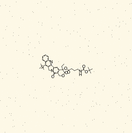 CCC1(OC(=O)CCCNC(=O)OC(C)(C)C)C(=O)OCc2c1cc1n(c2=O)Cc2c-1nc1ccccc1c2[Si](C)(C)C